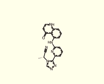 C[C@H](C#N)n1cnnc1-c1cccc(Nc2cccc3[nH]ccc(=O)c23)n1